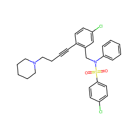 O=S(=O)(c1ccc(Cl)cc1)N(Cc1cc(Cl)ccc1C#CCCN1CCCCC1)c1ccccc1